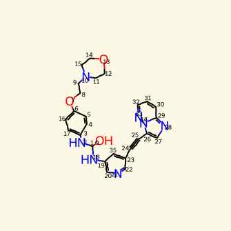 OC(Nc1ccc(OCCN2CCOCC2)cc1)Nc1cncc(C#Cc2cnc3cccnn23)c1